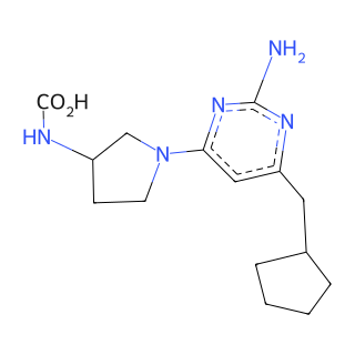 Nc1nc(CC2CCCC2)cc(N2CCC(NC(=O)O)C2)n1